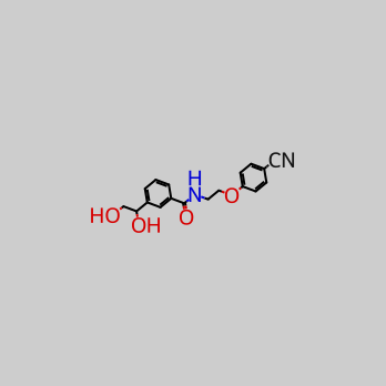 N#Cc1ccc(OCCNC(=O)c2cccc(C(O)CO)c2)cc1